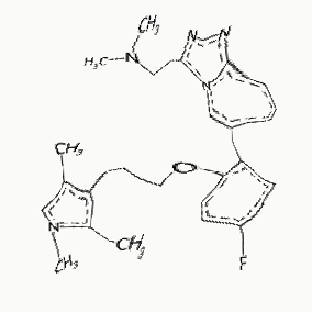 Cc1cn(C)c(C)c1CCOc1cc(F)ccc1-c1ccc2nnc(CN(C)C)n2c1